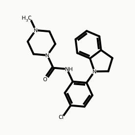 CN1CCN(C(=O)Nc2cc(Cl)ccc2N2CCc3ccccc32)CC1